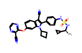 C[C@H](NS(=O)(=O)Nc1ccc(-c2c(C#N)c3ccc(Oc4nccnc4C#N)cc3n2C2CCC2)cc1)C1CC1